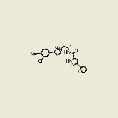 C[C@@H](Cn1ccc(-c2ccc(C#N)c(Cl)c2)n1)NC(=O)c1cc(-c2ccco2)n[nH]1